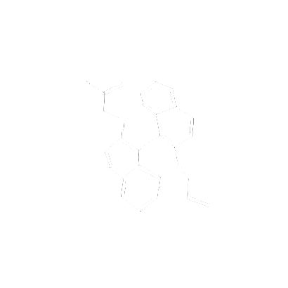 C=CCOc1ccc2ccccc2c1-c1c(OCC(N)=O)ccc2ccccc12